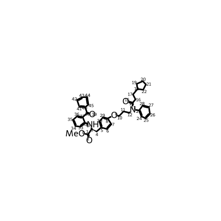 COC(=O)[C@H](Cc1ccc(OCCCN(C(=O)CCC2CCCC2)c2ccccc2)cc1)Nc1ccccc1C(=O)c1ccccc1